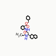 C=CCNC(CC(=O)Nc1ccccc1C(=O)OCc1ccccc1)c1ccc2ccccc2c1